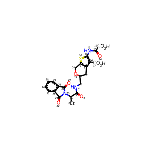 CCC(C(=O)NCC1Cc2c(sc(NC(=O)C(=O)O)c2C(=O)O)CO1)N1C(=O)c2ccccc2C1=O